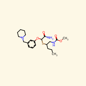 CCCC(CNC(=O)OC)SC(Oc1cccc(CN2CCCCC2)c1)C(N)=O